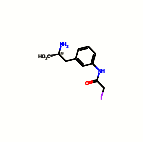 N[C@@H](Cc1cccc(NC(=O)CI)c1)C(=O)O